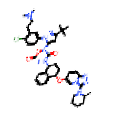 C[C@H]1CCCCN1c1nnc2ccc(O[C@@H]3CC[C@H](NC(=O)N(OC=O)c4cc(C(C)(C)C)nn4-c4ccc(Cl)c(CCN(C)C)c4)c4ccccc43)cn12